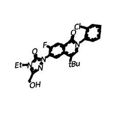 CCn1c(CO)nn(-c2cc3c(C(C)(C)C)cn(-c4ccccc4Cl)c(=O)c3cc2F)c1=O